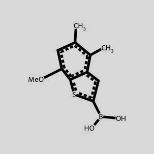 COc1cc(C)c(C)c2cc(B(O)O)sc12